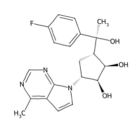 Cc1ncnc2c1ccn2[C@@H]1C[C@H]([C@](C)(O)c2ccc(F)cc2)[C@@H](O)[C@H]1O